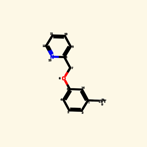 CCCc1cccc(OCc2ccccn2)c1